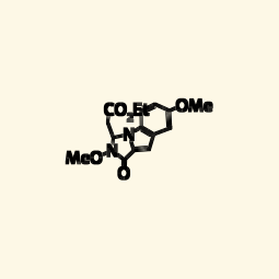 CCOC(=O)CC1N(OC)C(=O)c2cc3cc(OC)ccc3n21